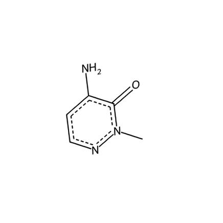 Cn1nccc(N)c1=O